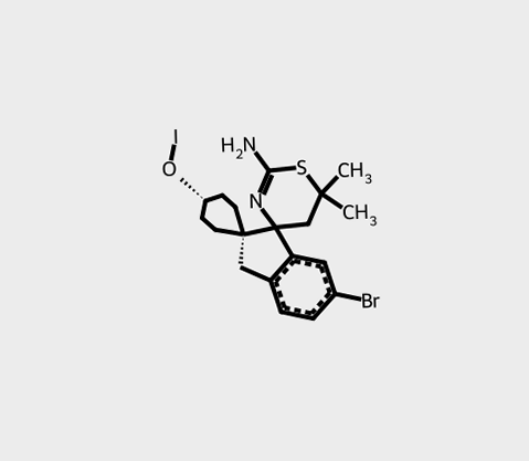 CC1(C)CC2(N=C(N)S1)c1cc(Br)ccc1C[C@]21CC[C@@H](OI)CC1